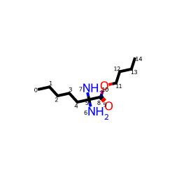 CCCCCC(N)(N)C(=O)OCCCC